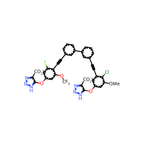 COc1cc(Oc2[nH]nnc2C(=O)O)cc(C#Cc2cccc(-c3cccc(C#Cc4c(F)cc(Oc5[nH]nnc5C(=O)O)cc4OC(F)(F)F)c3)c2)c1Cl